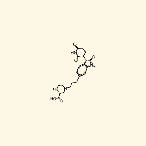 Cn1c(=O)n(C2CCC(=O)NC2=O)c2ccc(CCCN3CCNC(C(=O)O)C3)cc21